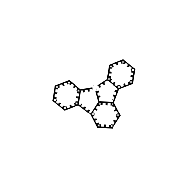 [c]1cccc2c3cccc4c5ccccc5n(c12)c34